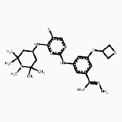 CN/C(=N\N)c1cc(Nc2ncc(F)c(NC3CC(C)(C)N(C)C(C)(C)C3)n2)cc(OC2COC2)c1